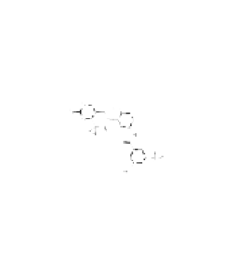 COc1cc(C(=O)Nc2ccc(C)c(N3Cc4cnc(N)nc4C4(CC4)C3=O)c2)cc(C(F)(F)F)c1